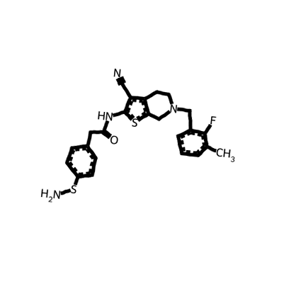 Cc1cccc(CN2CCc3c(sc(NC(=O)Cc4ccc(SN)cc4)c3C#N)C2)c1F